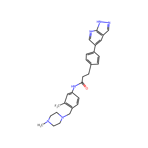 CN1CCN(Cc2ccc(NC(=O)CCc3ccc(-c4cnc5[nH]ncc5c4)cc3)cc2C(F)(F)F)CC1